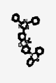 C[Si]1(C)c2cc(-c3nc(-c4ccccc4)nc(-c4ccccc4)n3)ccc2Oc2ccc(N3c4ccccc4Sc4ccccc43)cc21